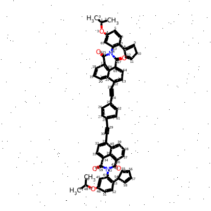 CC(C)Oc1ccc(C2=CCC=C2)c(N2C(=O)c3cccc4c(C#Cc5ccc(C#Cc6ccc7c8c(cccc68)C(=O)N(c6cc(OC(C)C)ccc6C6C=CC=C6)C7=O)cc5)ccc(c34)C2=O)c1